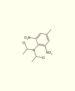 Cc1cc([N+](=O)[O-])c(N(C(C)Cl)C(C)Cl)c([N+](=O)[O-])c1